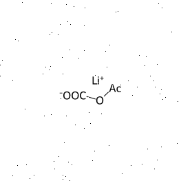 CC(=O)OC(=O)[O-].[Li+]